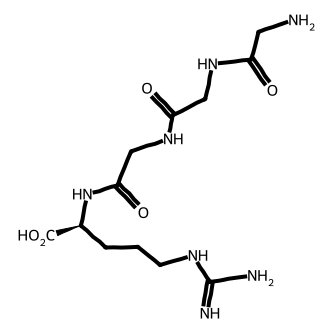 N=C(N)NCCC[C@H](NC(=O)CNC(=O)CNC(=O)CN)C(=O)O